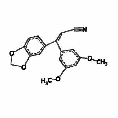 COc1cc(OC)cc(/C(=C\C#N)c2ccc3c(c2)OCO3)c1